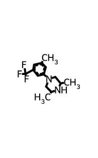 Cc1cc(N2CC(C)NC(C)C2)cc(C(F)(F)F)c1